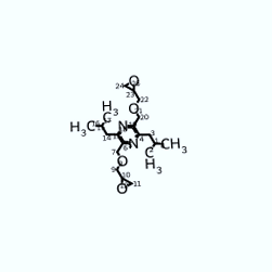 CC(C)Cc1nc(COCC2CO2)c(CC(C)C)nc1COCC1CO1